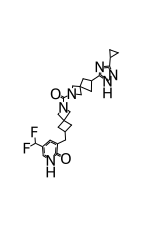 O=C(N1CC2(CC(Cc3cc(C(F)F)c[nH]c3=O)C2)C1)N1CC2(CC(c3nc(C4CC4)n[nH]3)C2)C1